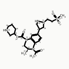 CC(=O)N1c2ccc(C3CNN(CCS(C)(=O)=O)C3)cc2N(C(=O)OC2CCCNC2)C[C@@H]1C